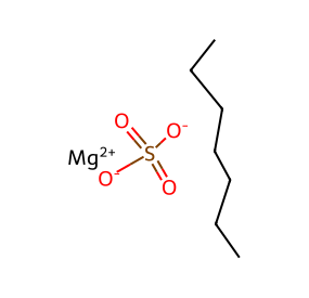 CCCCCCC.O=S(=O)([O-])[O-].[Mg+2]